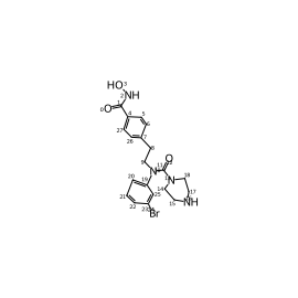 O=C(NO)c1ccc(CCN(C(=O)N2CCNCC2)c2cccc(Br)c2)cc1